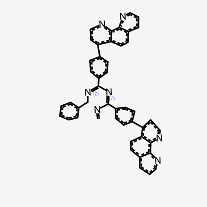 C=N/C(=N\C(=N/Cc1ccccc1)c1ccc(-c2ccnc3c2ccc2cccnc23)cc1)c1ccc(-c2ccnc3c2ccc2cccnc23)cc1